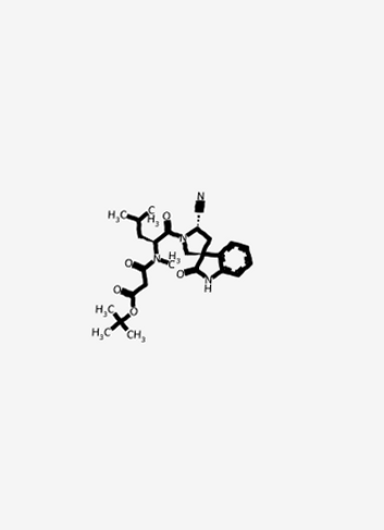 CC(C)C[C@@H](C(=O)N1C[C@]2(C[C@H]1C#N)C(=O)Nc1ccccc12)N(C)C(=O)CC(=O)OC(C)(C)C